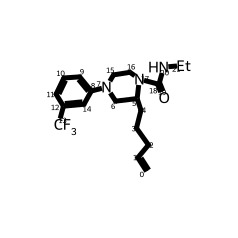 C=CCCCC1CN(c2cccc(C(F)(F)F)c2)CCN1C(=O)NCC